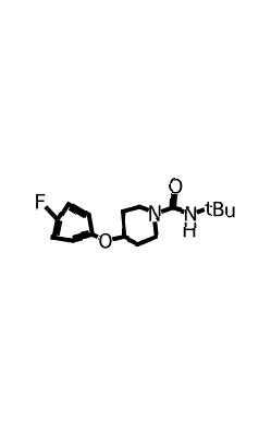 CC(C)(C)NC(=O)N1CCC(Oc2ccc(F)cc2)CC1